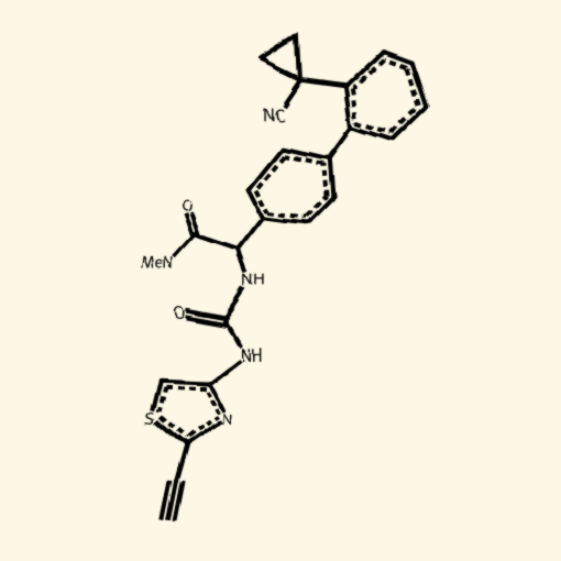 C#Cc1nc(NC(=O)NC(C(=O)NC)c2ccc(-c3ccccc3C3(C#N)CC3)cc2)cs1